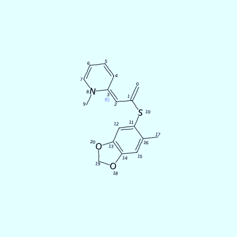 C=C(/C=C1\C=CC=CN1C)Sc1cc2c(cc1C)OCO2